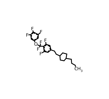 CCCCC1CCC(CCc2cc(F)c(C(F)(F)Oc3cc(F)c(F)c(F)c3)c(F)c2)CC1